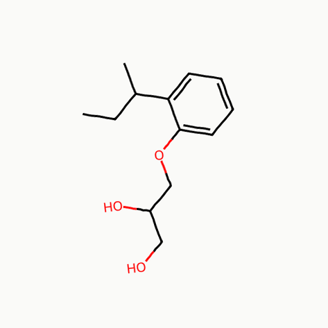 CCC(C)c1ccccc1OCC(O)CO